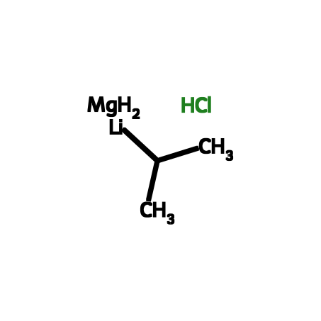 Cl.[Li][CH](C)C.[MgH2]